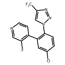 Fc1cnccc1-c1cc(Cl)ccc1-n1cc(C(F)(F)F)nn1